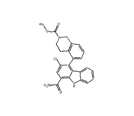 CC(C)(C)OC(=O)N1CCc2c(cccc2-c2c(Cl)cc(C(N)=O)c3[nH]c4ccccc4c23)C1